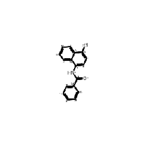 O=C(Nc1ccc(Cl)c2ccccc12)c1ccccc1